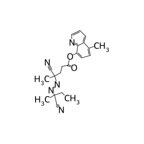 CCC(C)(C#N)N=NC(C)(C#N)CCC(=O)Oc1ccc(C)c2cccnc12